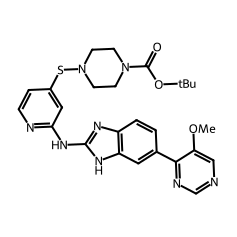 COc1cncnc1-c1ccc2nc(Nc3cc(SN4CCN(C(=O)OC(C)(C)C)CC4)ccn3)[nH]c2c1